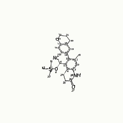 Cc1cc2c(c(C(C#N)O[Si](C)(C)C)c1-c1ccc3c(c1)CCCO3)CCC(=O)N2